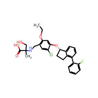 CCOc1cc(O[C@H]2CCc3c(-c4ccccc4F)cccc32)c(Cl)cc1CNC(C)(CO)C(=O)O